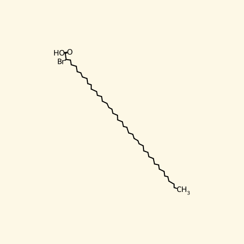 CCCCCCCCCCCCCCCCCCCCCCCCCCCCCCCCCCCCCCCCCCCC(Br)C(=O)O